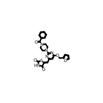 O=C1NC(=O)C(=Cc2cc(OCc3ccco3)nc(N3CCN(C(=O)c4ccccc4)CC3)n2)S1